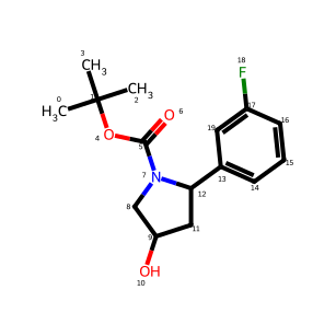 CC(C)(C)OC(=O)N1CC(O)CC1c1cccc(F)c1